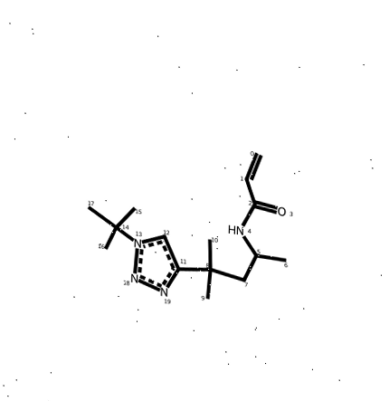 C=CC(=O)NC(C)CC(C)(C)c1cn(C(C)(C)C)nn1